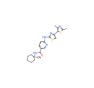 Cc1nc(C)c(-c2csc(Nc3ccc(C(=O)NC4(C#N)CCCCC4)cn3)n2)s1